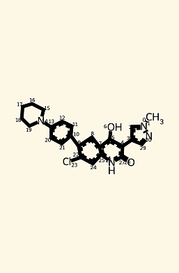 Cn1cc(-c2c(O)c3cc(-c4ccc(N5CCCCC5)cc4)c(Cl)cc3[nH]c2=O)cn1